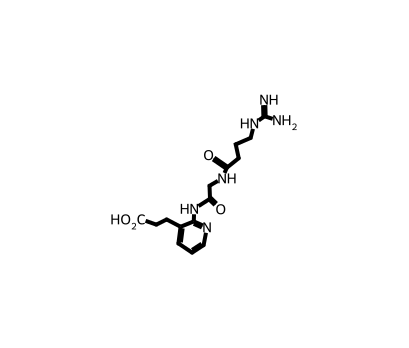 N=C(N)NCCCC(=O)NCC(=O)Nc1ncccc1CCC(=O)O